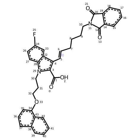 O=C(O)c1c(/C=C/CCCCN2C(=O)c3ccccc3C2=O)c2cc(F)ccc2n1CCCOc1cccc2ccccc12